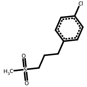 CS(=O)(=O)CCCc1ccc(Cl)cc1